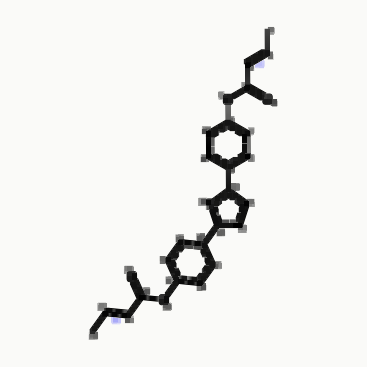 C/C=C/C(=O)Oc1ccc(-c2ccc(-c3ccc(OC(=O)/C=C/C)cc3)s2)cc1